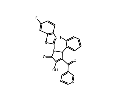 O=C(C1=C(O)C(=O)N(c2nc3ccc(F)cc3s2)C1c1ccccc1F)c1cccnc1